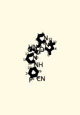 CC1CN(c2ncccc2C(=O)NS(=O)(=O)c2cccc(Nc3ccc(F)c(C#N)c3)n2)C(C)(C)C1